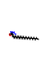 CCCCCCCCCCCCCCCCCC/C=C\CC(N)=O